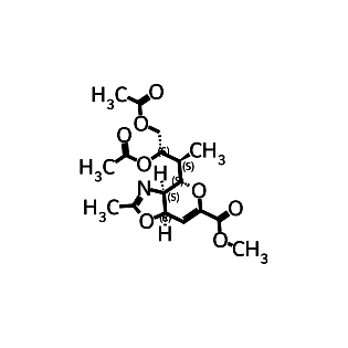 COC(=O)C1=C[C@H]2OC(C)=N[C@H]2[C@H]([C@H](C)[C@@H](COC(C)=O)OC(C)=O)O1